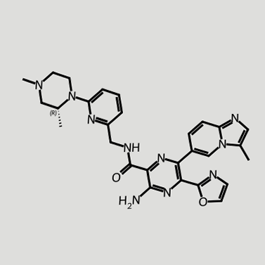 Cc1cnc2ccc(-c3nc(C(=O)NCc4cccc(N5CCN(C)C[C@H]5C)n4)c(N)nc3-c3ncco3)cn12